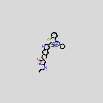 C=C/C=N\C1=C[C@@]2(Cc3cc4cc(CN/C(=N\C5(C=O)CCCC5)c5ccccc5Cl)cnc4cc3C2)C(=O)N1